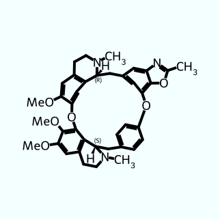 COc1cc2c3cc1Oc1c(OC)c(OC)cc4c1[C@H](Cc1ccc(cc1)Oc1cc(cc5nc(C)oc15)C[C@H]3N(C)CC2)N(C)CC4